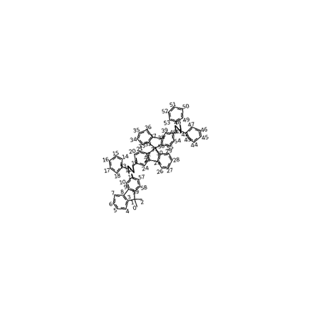 CC1(C)c2ccccc2-c2cc(N(c3ccccc3)c3ccc4c(c3)-c3ccccc3C43c4ccccc4-c4cc(N(c5ccccc5)c5ccccc5)ccc43)ccc21